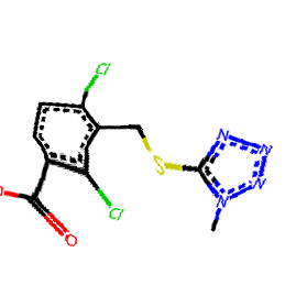 Cn1nnnc1SCc1c(Cl)ccc(C(=O)O)c1Cl